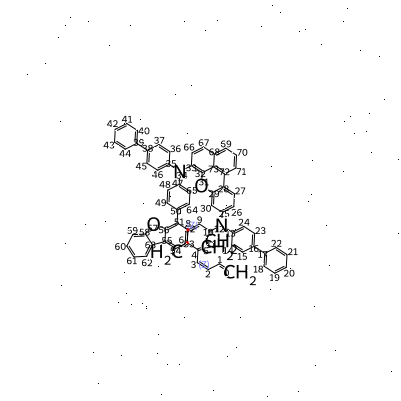 C=C/C=C\C(=C)C(=C)/C=C\C(=C)N(c1ccc(-c2ccccc2)cc1)c1ccc2c(c1)Oc1c(N(c3ccc(-c4ccccc4)cc3)c3ccc(-c4cccc5c4oc4ccccc45)cc3)ccc3cccc-2c13